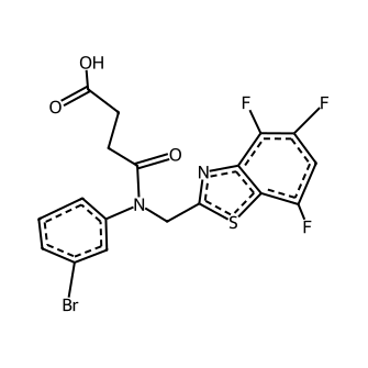 O=C(O)CCC(=O)N(Cc1nc2c(F)c(F)cc(F)c2s1)c1cccc(Br)c1